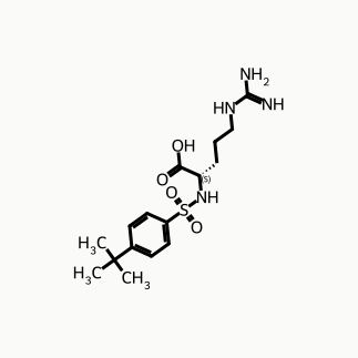 CC(C)(C)c1ccc(S(=O)(=O)N[C@@H](CCCNC(=N)N)C(=O)O)cc1